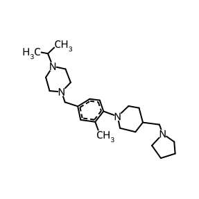 Cc1cc(CN2CCN(C(C)C)CC2)ccc1N1CCC(CN2CCCC2)CC1